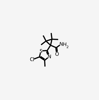 Cc1nc(C2(C(N)=O)C(C)(C)C2(C)C)sc1Cl